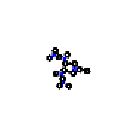 c1ccc(-c2ccc(N3c4ccccc4Cc4cc(N(c5ccccc5)c5ccc6c(c5)c5ccccc5n6-c5ccccc5)ccc4-c4ccc(N(c5ccccc5)c5ccc6c(c5)c5ccccc5n6-c5ccccc5)cc4Cc4ccccc43)cc2)cc1